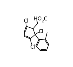 Cc1ccccc1C1(Cl)C(Cl)=CC=C(Cl)C1CC(=O)O